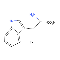 NC(Cc1c[nH]c2ccccc12)C(=O)O.[Fe]